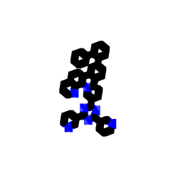 C1=CC(c2nc(-c3cccnc3)nc(-c3cccnc3)n2)=CN2B1c1ccc(-c3ccccc3-c3ccccc3)cc1-c1ccc3cccnc3c12